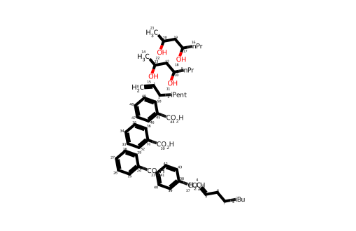 C=CCC(C)CCC.C=CCCC(C)CC.CCCC(O)CC(C)O.CCCC(O)CC(C)O.O=C(O)c1ccccc1.O=C(O)c1ccccc1.O=C(O)c1ccccc1.O=C(O)c1ccccc1